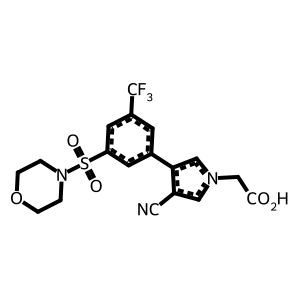 N#Cc1cn(CC(=O)O)cc1-c1cc(C(F)(F)F)cc(S(=O)(=O)N2CCOCC2)c1